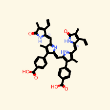 C=CC1=C(C)C(=O)N/C1=C\C1=NC(=Cc2[nH]c(/C=C3\NC(=O)C(C)=C3C=C)c(C)c2-c2ccc(C(=O)O)cc2)C(c2ccc(C(=O)O)cc2)=C1C